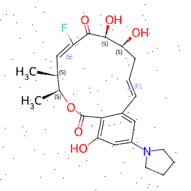 C[C@@H]1OC(=O)c2c(O)cc(N3CCCC3)cc2/C=C/C[C@H](O)[C@H](O)C(=O)/C(F)=C\[C@@H]1C